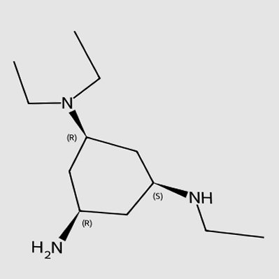 CCN[C@H]1C[C@@H](N)C[C@@H](N(CC)CC)C1